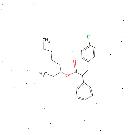 CCCCCC(CC)OC(=O)C(Cc1ccc(Cl)cc1)c1ccccc1